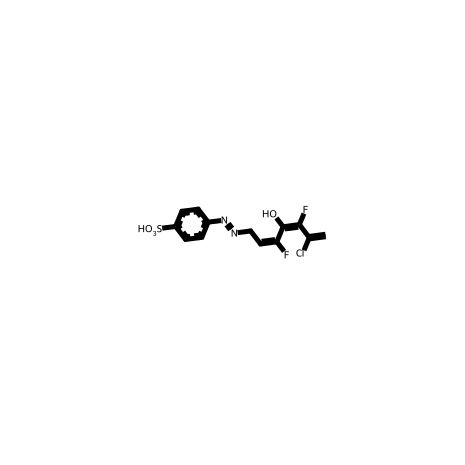 C=C(Cl)/C(F)=C(O)\C(F)=C/C/N=N/c1ccc(S(=O)(=O)O)cc1